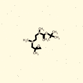 CN(CCN(C)C(=O)OC(C)(C)C)CC1(C)CO1